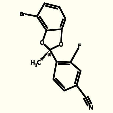 C[C@@]1(c2ccc(C#N)cc2F)Oc2cccc(Br)c2O1